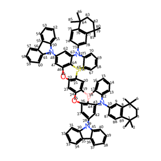 CC1(C)CCC(C)(C)c2cc(N3c4ccccc4B4c5cc6c(cc5Oc5cc(-n7c8ccccc8c8ccccc87)cc3c54)Oc3cc(-n4c5ccccc5c5ccccc54)cc4c3[SH]6c3ccccc3N4c3ccc4c(c3)C(C)(C)CCC4(C)C)ccc21